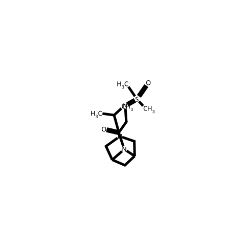 CC(C)N1CC2CC(C1)N2C(=O)CN=S(C)(C)=O